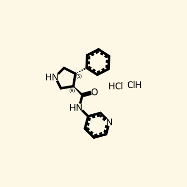 Cl.Cl.O=C(Nc1cccnc1)[C@H]1CNC[C@@H]1c1ccccc1